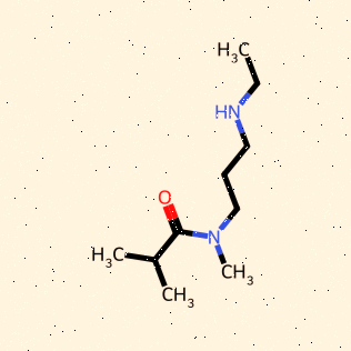 CCNCCCN(C)C(=O)C(C)C